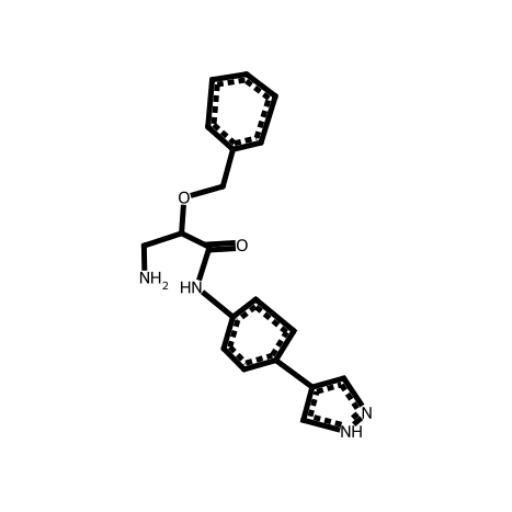 NCC(OCc1ccccc1)C(=O)Nc1ccc(-c2cn[nH]c2)cc1